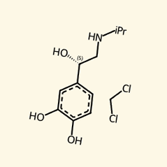 CC(C)NC[C@@H](O)c1ccc(O)c(O)c1.ClCCl